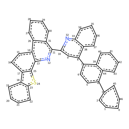 c1ccc(-c2ccc(-c3cc(-c4nc5c(ccc6c7ccccc7sc65)c5ccccc45)nc4ccccc34)c3ccccc23)cc1